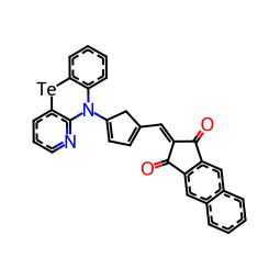 O=C1C(=CC2=CC=C(N3c4ccccc4[Te]c4cccnc43)C2)C(=O)c2cc3ccccc3cc21